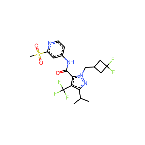 CC(C)c1nn(CC2CC(F)(F)C2)c(C(=O)Nc2ccnc(S(C)(=O)=O)c2)c1C(F)(F)F